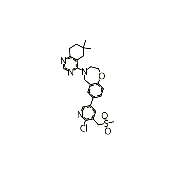 CC1(C)CCc2ncnc(N3CCOc4ccc(-c5cnc(Cl)c(CS(C)(=O)=O)c5)cc4C3)c2C1